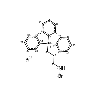 BrNCCC[P+](c1ccccc1)(c1ccccc1)c1ccccc1.[Br-]